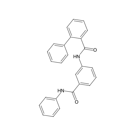 O=C(Nc1ccccc1)c1cccc(NC(=O)c2ccccc2-c2ccccc2)c1